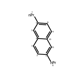 CCCc1ccc2cc(CCC)ccc2c1